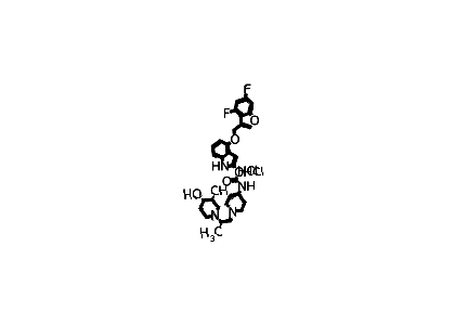 C[C@H]1CN([C@@H](C)CN2CCC(NC(=O)Oc3cc4c(OCc5coc6cc(F)cc(F)c56)cccc4[nH]3)CC2)CC[C@@H]1O.Cl.Cl